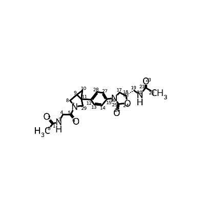 CC(=O)NCC(=O)N1CC2CC2(c2ccc(N3C[C@H](CNC(C)=O)OC3=O)cc2)C1